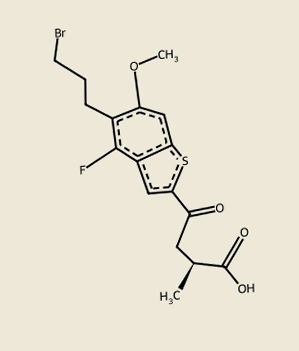 COc1cc2sc(C(=O)C[C@H](C)C(=O)O)cc2c(F)c1CCCBr